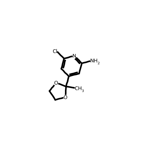 CC1(c2cc(N)nc(Cl)c2)OCCO1